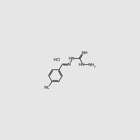 Cl.N#Cc1ccc(/C=N/NC(=N)NN)cc1